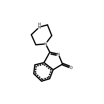 O=C1N=C(N2CCNCC2)c2ccccc21